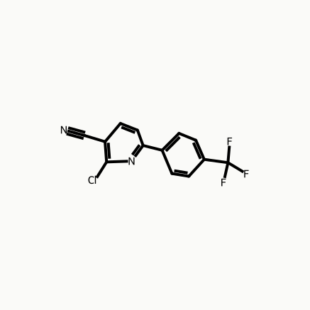 N#Cc1ccc(-c2ccc(C(F)(F)F)cc2)nc1Cl